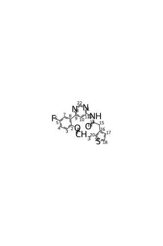 COc1ccc(F)cc1-c1cc(NC(=O)Cc2ccsc2)ncn1